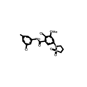 COc1cc(N2CCCS2(=O)=O)cc(C(=O)Nc2cc(C)cc(Cl)c2)c1Cl